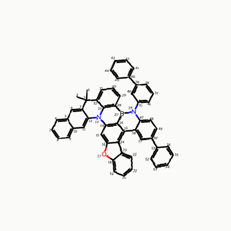 CC1(C)c2cc3ccccc3cc2N2c3cc4oc5ccccc5c4c4c3B(c3cccc1c32)N(c1cccc(-c2ccccc2)c1)c1ccc(-c2ccccc2)cc1-4